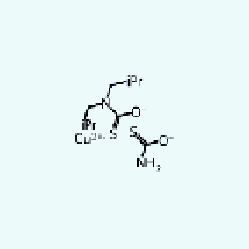 CC(C)CN(CC(C)C)C([O-])=S.NC([O-])=S.[Cu+2]